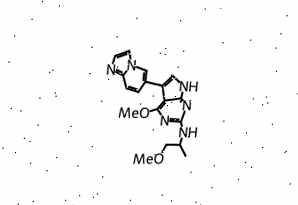 COCC(C)Nc1nc(OC)c2c(-c3ccc4nccn4c3)c[nH]c2n1